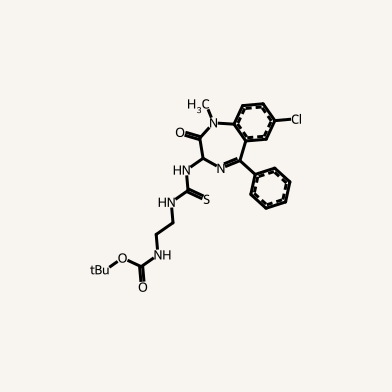 CN1C(=O)C(NC(=S)NCCNC(=O)OC(C)(C)C)N=C(c2ccccc2)c2cc(Cl)ccc21